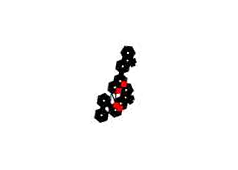 CC1(C)c2ccccc2-c2ccc(-c3ccc4cc(N(c5cccc(-c6ccccc6)c5-c5ccccc5)c5cccc6c5-c5ccccc5C6(C)C)ccc4c3)cc21